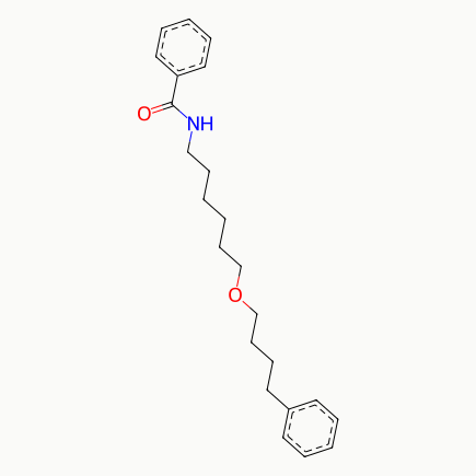 O=C(NCCCCCCOCCCCc1ccccc1)c1ccccc1